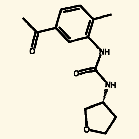 CC(=O)c1ccc(C)c(NC(=O)N[C@@H]2CCOC2)c1